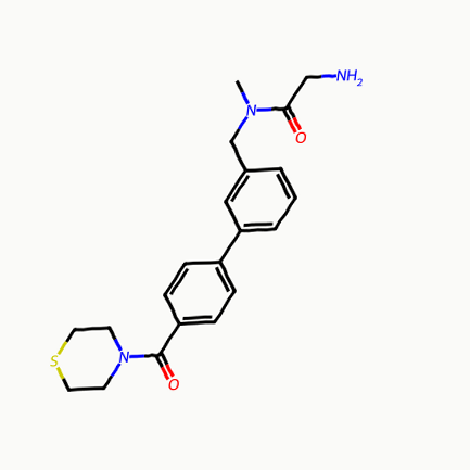 CN(Cc1cccc(-c2ccc(C(=O)N3CCSCC3)cc2)c1)C(=O)CN